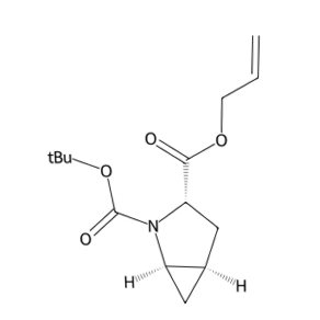 C=CCOC(=O)[C@@H]1C[C@H]2C[C@H]2N1C(=O)OC(C)(C)C